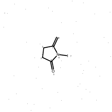 C=C1CCC(=O)N1I